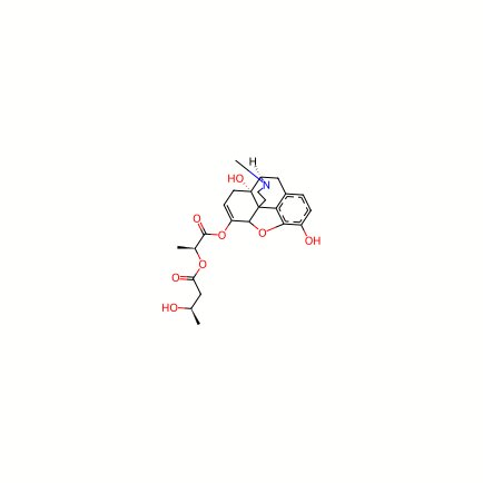 C[C@H](OC(=O)C[C@@H](C)O)C(=O)OC1=CC[C@@]2(O)[C@H]3Cc4ccc(O)c5c4C2(CCN3C)C1O5